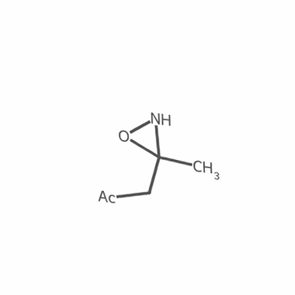 CC(=O)CC1(C)NO1